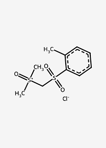 Cc1ccccc1S(=O)(=O)C[S+](C)(C)=O.[Cl-]